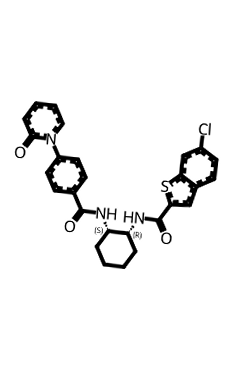 O=C(N[C@H]1CCCC[C@H]1NC(=O)c1cc2ccc(Cl)cc2s1)c1ccc(-n2ccccc2=O)cc1